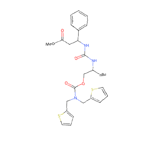 CCCCC(COC(=O)N(Cc1cccs1)Cc1cccs1)NC(=O)NC(CC(=O)OC)c1ccccc1